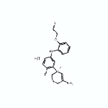 C[C@@]1(c2cc(Nc3ccccc3OCCF)ccc2F)COCC(N)=N1.Cl